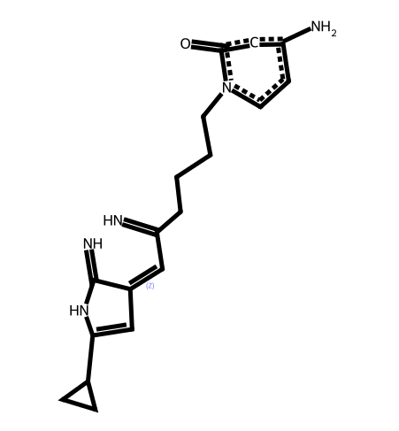 N=C(/C=C1/C=C(C2CC2)NC1=N)CCCCn1ccc(N)cc1=O